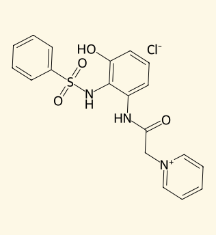 O=C(C[n+]1ccccc1)Nc1cccc(O)c1NS(=O)(=O)c1ccccc1.[Cl-]